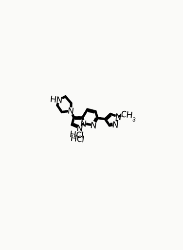 Cl.Cl.Cn1cc(-c2ccc3c(N4CCNCC4)cnn3n2)cn1